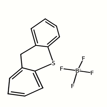 F[B-](F)(F)F.c1ccc2c(c1)Cc1ccccc1S2